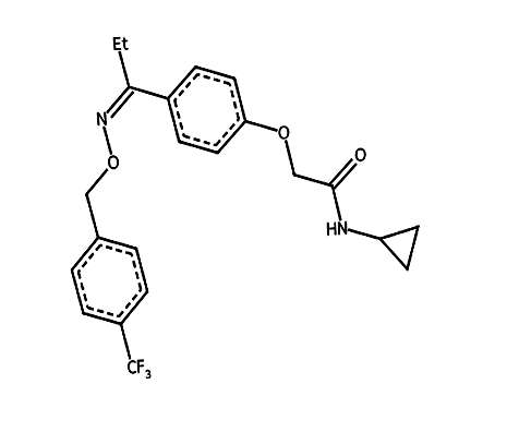 CCC(=NOCc1ccc(C(F)(F)F)cc1)c1ccc(OCC(=O)NC2CC2)cc1